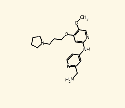 COc1cnc(Nc2ccnc(CN)c2)cc1OCCCN1CCCC1